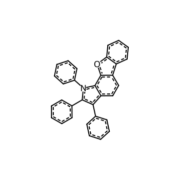 c1ccc(-c2c(-c3ccccc3)n(-c3ccccc3)c3c2ccc2c4ccccc4oc23)cc1